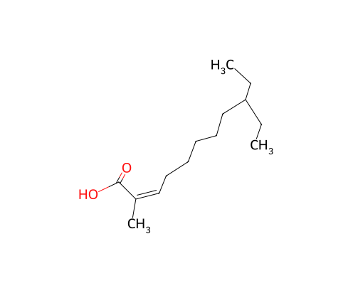 CCC(CC)CCCCCC=C(C)C(=O)O